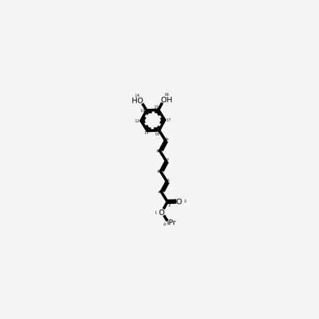 CC(C)OC(=O)/C=C/C=C/C=C/c1ccc(O)c(O)c1